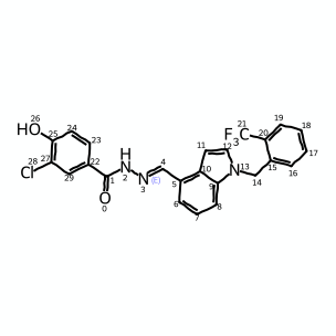 O=C(N/N=C/c1cccc2c1ccn2Cc1ccccc1C(F)(F)F)c1ccc(O)c(Cl)c1